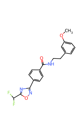 COc1cccc(CCNC(=O)c2ccc(-c3noc(C(F)F)n3)cc2)c1